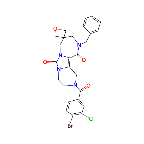 O=C(c1ccc(Br)c(Cl)c1)N1CCn2c(c3n(c2=O)CC2(COC2)CN(Cc2ccccc2)C3=O)C1